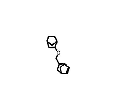 C1=CC2CC1CC2COC1CC2CCC1C2